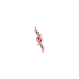 CCCCOc1ccc(C(=O)O[C@H]2CO[C@H]3[C@@H]2OC[C@H]3OC(=O)c2ccc(OCCCC)cc2)cc1